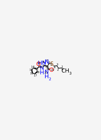 CCCCCSc1n[nH]c(NC(=O)c2ccccc2)c1C(N)=O